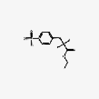 CCOC(=O)C(F)(F)Oc1ccc(S(=O)(=O)Cl)cc1